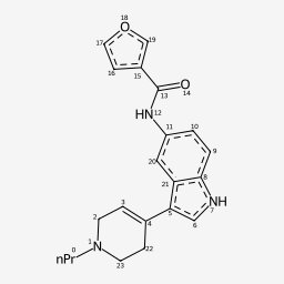 CCCN1CC=C(c2c[nH]c3ccc(NC(=O)c4ccoc4)cc23)CC1